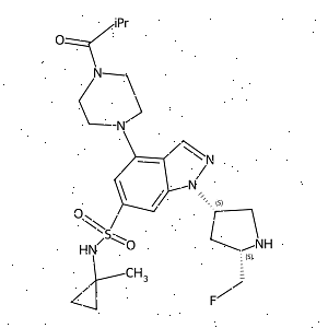 CC(C)C(=O)N1CCN(c2cc(S(=O)(=O)NC3(C)CC3)cc3c2cnn3[C@@H]2CN[C@H](CF)C2)CC1